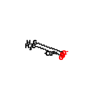 CCCCCCCCCCCCCCCCCCCCCCC(=O)[O-].CCCCCCCCCCCCCCCCCCCCCCC(=O)[O-].[Cu+2]